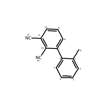 Cc1ccccc1-c1cccc(C#N)c1C#N